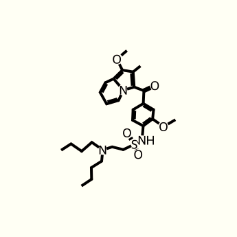 CCCCN(CCCC)CCS(=O)(=O)Nc1ccc(C(=O)c2c(C)c(OC)c3ccccn23)cc1OC